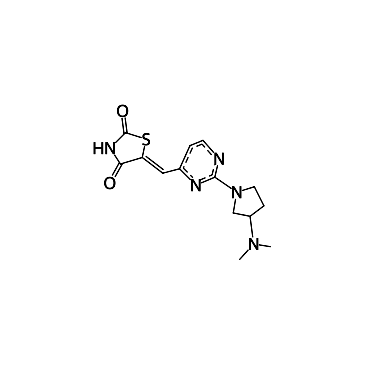 CN(C)C1CCN(c2nccc(/C=C3\SC(=O)NC3=O)n2)C1